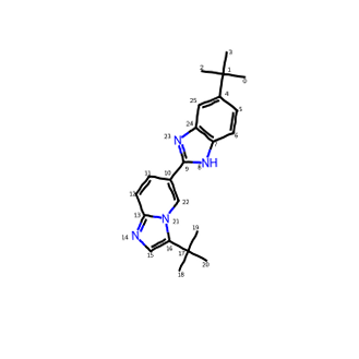 CC(C)(C)c1ccc2[nH]c(-c3ccc4ncc(C(C)(C)C)n4c3)nc2c1